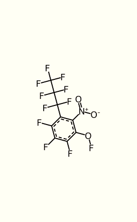 O=[N+]([O-])c1c(OF)c(F)c(F)c(F)c1C(F)(F)C(F)(F)C(F)(F)F